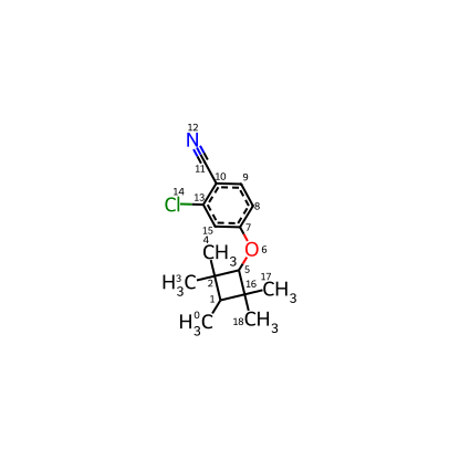 CC1C(C)(C)C(Oc2ccc(C#N)c(Cl)c2)C1(C)C